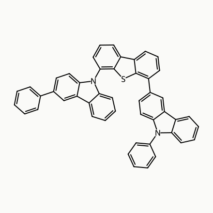 c1ccc(-c2ccc3c(c2)c2ccccc2n3-c2cccc3c2sc2c(-c4ccc5c(c4)c4ccccc4n5-c4ccccc4)cccc23)cc1